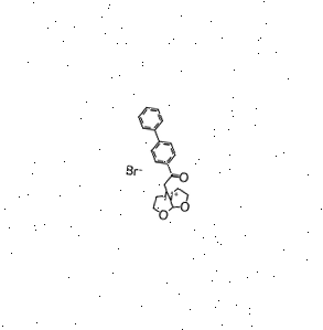 O=C(C[N+]12CCOC1OCC2)c1ccc(-c2ccccc2)cc1.[Br-]